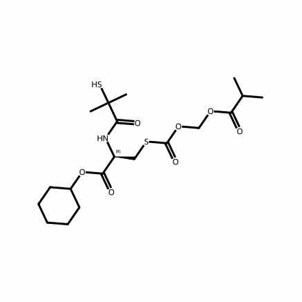 CC(C)C(=O)OCOC(=O)SC[C@H](NC(=O)C(C)(C)S)C(=O)OC1CCCCC1